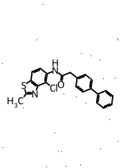 Cc1nc2c(Cl)c(NC(=O)Cc3ccc(-c4ccccc4)cc3)ccc2s1